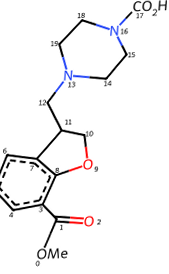 COC(=O)c1cccc2c1OCC2CN1CCN(C(=O)O)CC1